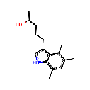 C=C(O)CCCc1c[nH]c2c(C)cc(C)c(C)c12